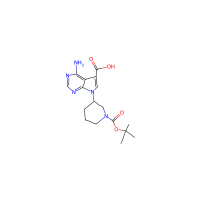 CC(C)(C)OC(=O)N1CCCC(n2cc(C(=O)O)c3c(N)ncnc32)C1